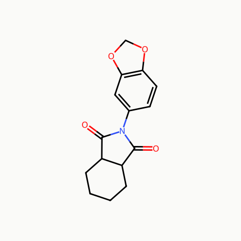 O=C1C2CCCCC2C(=O)N1c1ccc2c(c1)OCO2